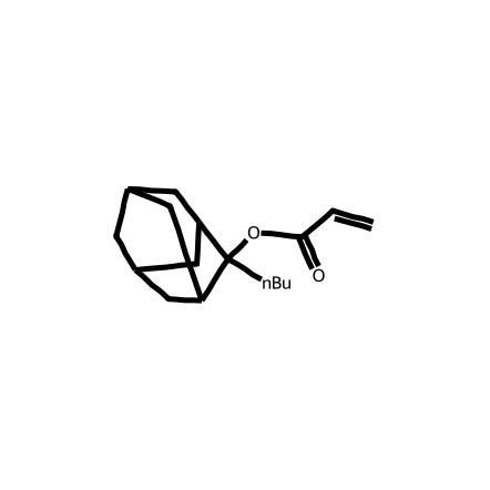 C=CC(=O)OC1(CCCC)C2CC3CC(C2)CC1C3